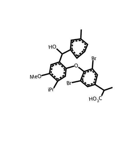 COc1cc(C(O)c2cccc(C)c2)c(Oc2c(Br)cc(C(C)C(=O)O)cc2Br)cc1C(C)C